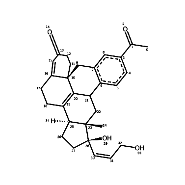 CC(=O)c1ccc2c(c1)C[C@]13CCC(=O)C=C1CCC1=C3C2C[C@@]2(C)[C@H]1CC[C@@]2(O)/C=C\CO